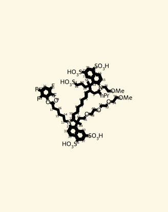 CCCC1CC(/C=C/C=C/C=C/C=C2/N(CCCCCC(=O)Oc3c(F)c(F)cc(F)c3F)c3ccc4c(S(=O)(=O)O)cc(S(=O)(=O)O)cc4c3C2(C)CCOCCOCCOCCOC)C(C)(CCCS(=O)(=O)O)c2c(ccc3c(S(=O)(=O)O)cc(S(=O)(=O)O)cc23)N1CCOC